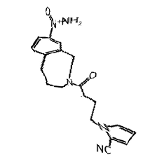 N#Cc1cccn1CC[CH]C(=O)N1CCCc2ccc([N+](N)=O)cc2C1